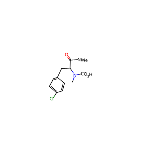 CNC(=O)C(Cc1ccc(Cl)cc1)N(C)C(=O)O